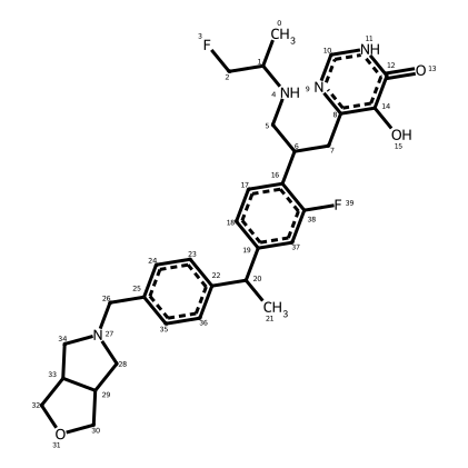 CC(CF)NCC(Cc1nc[nH]c(=O)c1O)c1ccc(C(C)c2ccc(CN3CC4COCC4C3)cc2)cc1F